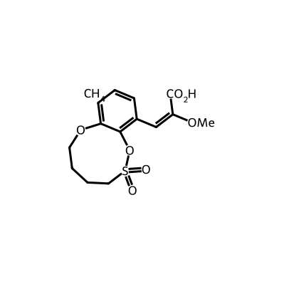 C.COC(=Cc1cccc2c1OS(=O)(=O)CCCCO2)C(=O)O